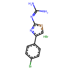 Br.NC(N)=Nc1nc(-c2ccc(Br)cc2)cs1